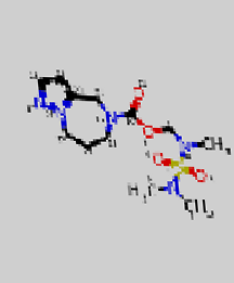 CN(C)S(=O)(=O)N(C)COC(=O)N1CCCn2nccc2C1